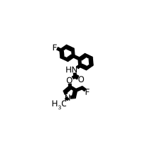 Cn1cc(CF)c(OC(=O)Nc2ccccc2-c2ccc(F)cc2)c1